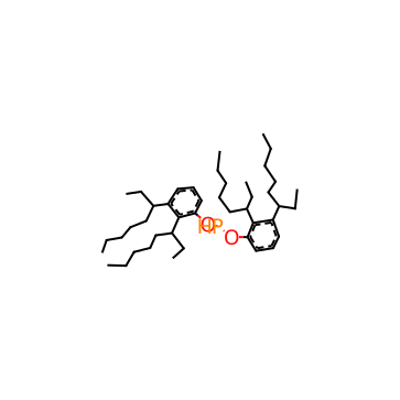 CCCCCC(CC)c1cccc(OPOc2cccc(C(CC)CCCCC)c2C(CC)CCCCC)c1C(CC)CCCCC